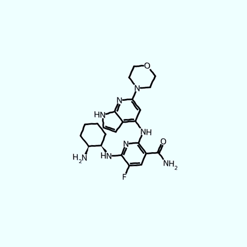 NC(=O)c1cc(F)c(N[C@@H]2CCCC[C@@H]2N)nc1Nc1cc(N2CCOCC2)nc2[nH]ccc12